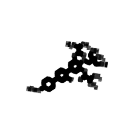 C=C(C)C(=O)Oc1cc(-c2ccc(C3CCC(CCCCC)CC3)cc2F)cc(OC(=O)C(=C)C)c1OCC(C)(CO)CO